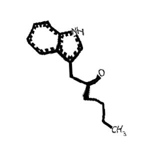 CCCCC(=O)Cc1c[nH]c2ccccc12